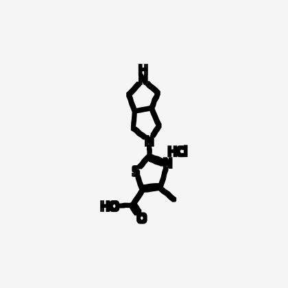 Cc1nc(N2CC3CNCC3C2)sc1C(=O)O.Cl